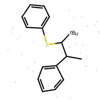 CC(c1ccccc1)C(Sc1ccccc1)C(C)(C)C